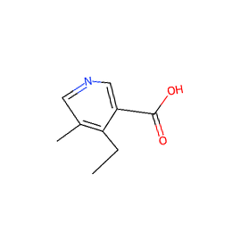 CCc1c(C)cncc1C(=O)O